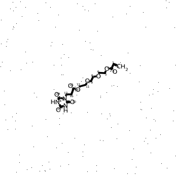 C=CC(=O)OCCOCCOCCOC(=O)CCn1c(=O)[nH]c(=O)[nH]c1=O